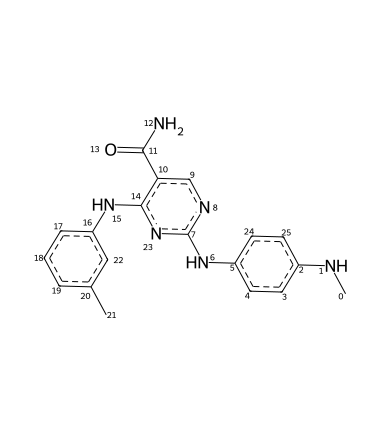 CNc1ccc(Nc2ncc(C(N)=O)c(Nc3cccc(C)c3)n2)cc1